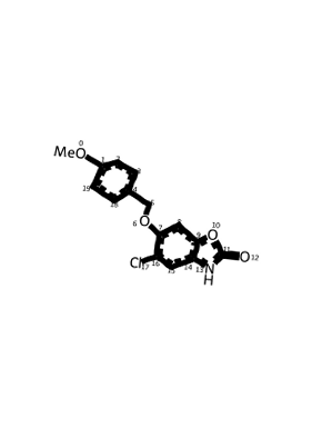 COc1ccc(COc2cc3oc(=O)[nH]c3cc2Cl)cc1